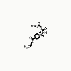 C=CCOC(=O)C1CCN(S(=O)(=O)NC(=O)OCC(=O)OC(C)(C)C)CC1